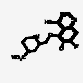 O=C(O)N1CCNC(COc2c(Cl)c(Br)cc3ncnc(O)c23)C1